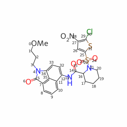 COCCCN1C(=O)c2cccc3c(NC(=O)C4CCCCN4S(=O)(=O)c4cc([N+](=O)[O-])c(Cl)s4)ccc1c23